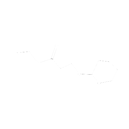 CCOC(=O)CCOC1CCCCO1